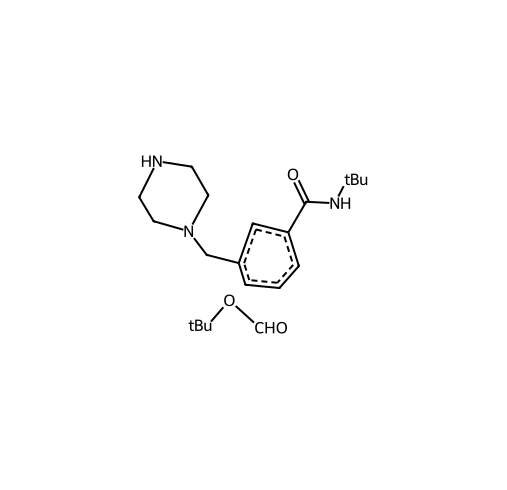 CC(C)(C)NC(=O)c1cccc(CN2CCNCC2)c1.CC(C)(C)OC=O